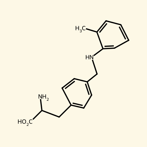 Cc1ccccc1NCc1ccc(CC(N)C(=O)O)cc1